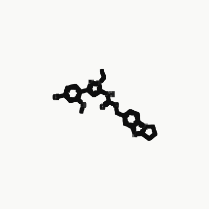 CCn1nc(-c2ccc(Cl)cc2OC)cc1NC(=O)OCc1ccc2c(c1)nc1n2CCC1